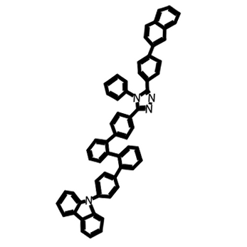 c1ccc(-n2c(-c3ccc(-c4ccc5ccccc5c4)cc3)nnc2-c2ccc(-c3ccccc3-c3ccccc3-c3ccc(-n4c5ccccc5c5ccccc54)cc3)cc2)cc1